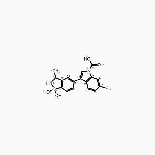 CC1NS(O)(O)c2ccc(-c3cn(C(=O)O)c4cc(F)ccc34)cc21